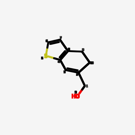 OCC1=Cc2sccc2CC1